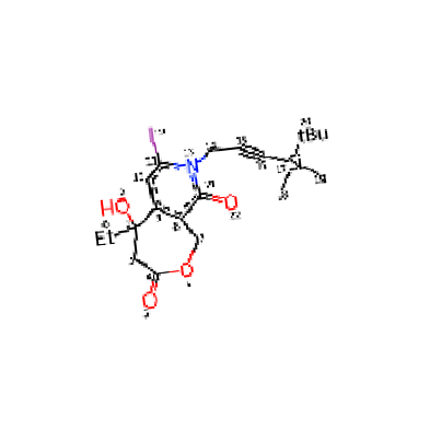 CCC1(O)CC(=O)OCc2c1cc(I)n(CC#C[Si](C)(C)C(C)(C)C)c2=O